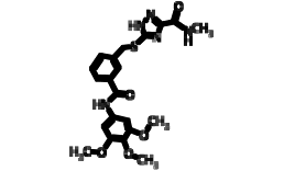 CNC(=O)c1n[nH]c(SCc2cccc(C(=O)Nc3cc(OC)c(OC)c(OC)c3)c2)n1